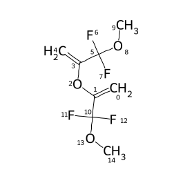 C=C(OC(=C)C(F)(F)OC)C(F)(F)OC